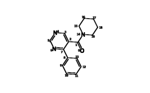 O=C(c1cn[c]nc1-c1ccccc1)N1CCCCC1